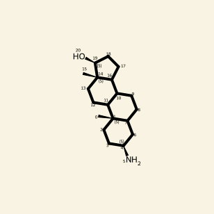 C[C@]12CC[C@H](N)CC1CCC1C2CC[C@@]2(C)C1CC[C@@H]2O